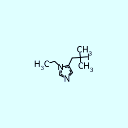 CCn1cncc1CC(C)(C)I